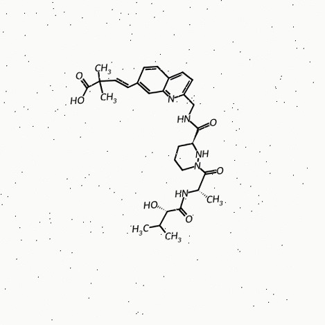 CC(C)[C@H](O)C(=O)N[C@@H](C)C(=O)N1CCC[C@@H](C(=O)NCc2ccc3ccc(/C=C/C(C)(C)C(=O)O)cc3n2)N1